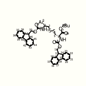 CC(=O)[C@@H](CSSC[C@@H](NC(=O)OCC1c2ccccc2-c2ccccc21)C(=O)OC(C)(C)C)NC(=O)OCC1c2ccccc2-c2ccccc21